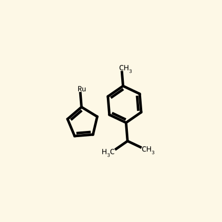 Cc1ccc(C(C)C)cc1.[Ru][C]1=CC=CC1